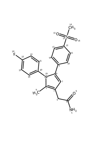 Cc1c(CC(N)=O)cc(-c2ccc(S(C)(=O)=O)cc2)n1-c1ccc(F)cc1